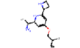 CCCCC(CC)COC1=CC(C(N)CCC)NC(C2CCN2)=C1